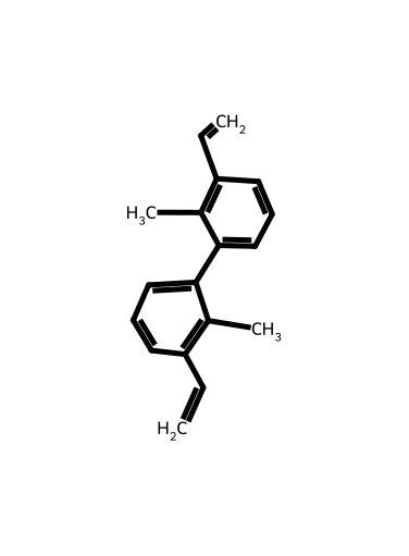 C=Cc1cccc(-c2cccc(C=C)c2C)c1C